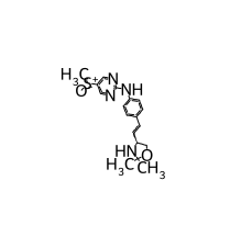 C[S+]([O-])c1cnc(Nc2ccc(C=C[C@H]3COC(C)(C)N3)cc2)nc1